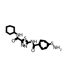 NSc1ccc(C(=O)Nc2nnc(C(=O)NC3CCCCC3)s2)cc1